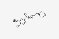 CC(C)(C)c1cc(C(=O)NCCCN2CCOCC2)ccc1Cl